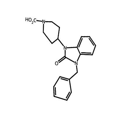 O=C(O)N1CCC(n2c(=O)n(Cc3ccccc3)c3ccccc32)CC1